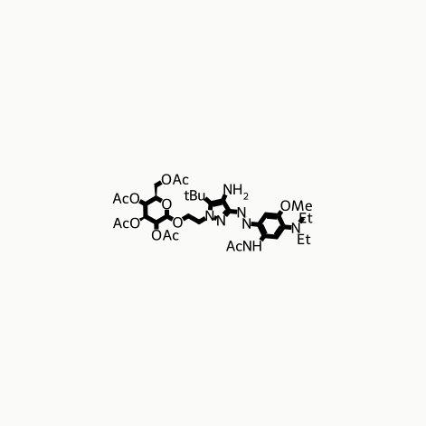 CCN(CC)c1cc(NC(C)=O)c(/N=N/c2nn(CCOC3O[C@H](COC(C)=O)C(OC(C)=O)[C@H](OC(C)=O)C3OC(C)=O)c(C(C)(C)C)c2N)cc1OC